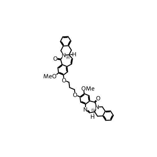 COc1cc2c(cc1OCCCOc1cc3c(cc1OC)C(=O)N1Cc4ccccc4C[C@H]1C=N3)C=C[C@H]1Cc3ccccc3CN1C2=O